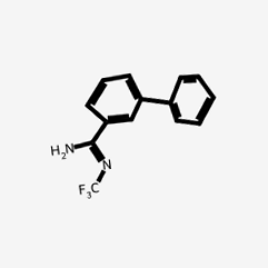 NC(=NC(F)(F)F)c1cccc(-c2ccccc2)c1